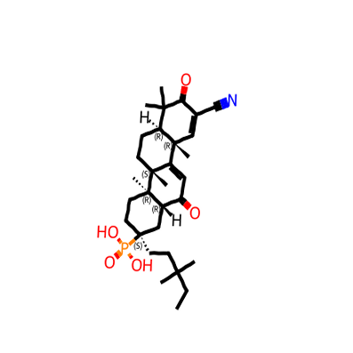 CCC(C)(C)CC[C@]1(P(=O)(O)O)CC[C@]2(C)[C@@H](C1)C(=O)C=C1[C@@]3(C)C=C(C#N)C(=O)C(C)(C)[C@@H]3CC[C@]12C